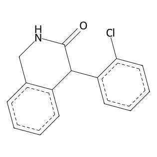 O=C1NCc2ccccc2C1c1ccccc1Cl